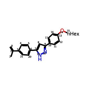 C=C(C)c1ccc(-c2cc(-c3ccc(OCCCCCC)cc3)n[nH]2)cc1